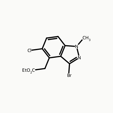 CCOC(=O)Cc1c(Cl)ccc2c1c(Br)nn2C